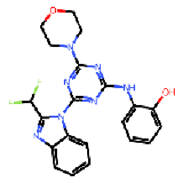 Oc1ccccc1Nc1nc(N2CCOCC2)nc(-n2c(C(F)F)nc3ccccc32)n1